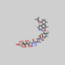 O=C(NC[C@H](O)[C@@H](O)[C@H](O)[C@H](O)CO)NC1CN(S(=O)(=O)c2ccc(Cl)c(COC3(c4cnccc4-c4ccccc4OC4CC4)CC3)c2)C1